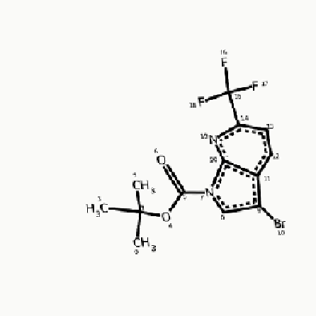 CC(C)(C)OC(=O)n1cc(Br)c2ccc(C(F)(F)F)nc21